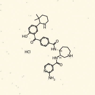 CC1(C)CCCNC1c1ccc(O)c(C(=O)c2ccc(C(=O)N[C@@H]3CCCNC[C@H]3NC(=O)c3ccnc(N)c3)cc2)c1.Cl